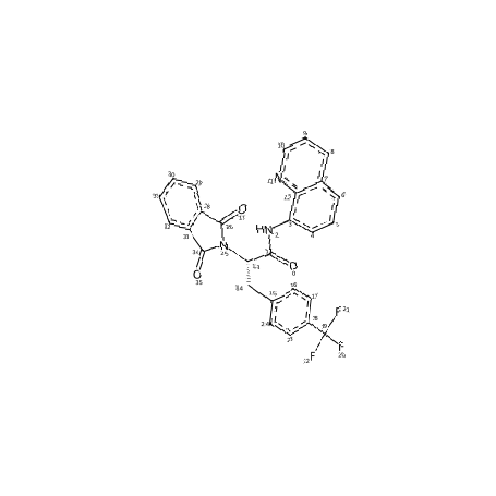 O=C(Nc1cccc2cccnc12)[C@H](Cc1ccc(C(F)(F)F)cc1)N1C(=O)c2ccccc2C1=O